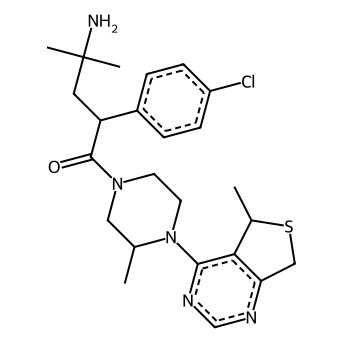 CC1SCc2ncnc(N3CCN(C(=O)C(CC(C)(C)N)c4ccc(Cl)cc4)CC3C)c21